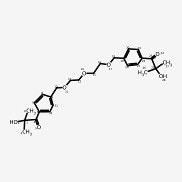 CC(C)(O)C(=O)c1ccc(COCCOCCOCc2ccc(C(=O)C(C)(C)O)cc2)cc1